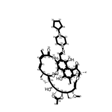 CO[C@H]1/C=C/O[C@@]2(C)Oc3c(C)c(O)c4c5c(c(/C=N/N6CCN(C7CCCC7)CC6)c(O)c4c3C2=O)NC(=O)/C(C)=C\C=C\[C@H](C)[C@H](OO5)[C@@H](C)[C@@H](O)[C@@H](C)[C@H](OC(C)=O)[C@@H]1C